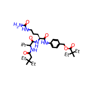 CCC(C)(CC)CC(=O)NC(C(=O)N[C@@H](CCCNC(N)=O)C(=O)Nc1ccc(COC(=O)C(C)(CC)CC)cc1)C(C)C